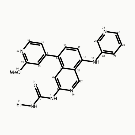 CCNC(=O)Nc1cc2c(-c3ccnc(OC)c3)ccc(Nc3cccnc3)c2cn1